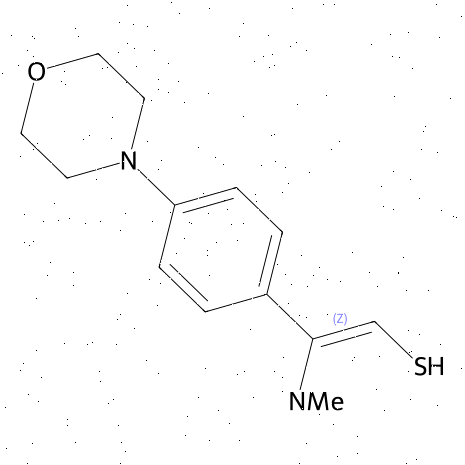 CN/C(=C\S)c1ccc(N2CCOCC2)cc1